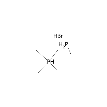 Br.CP.C[PH](C)(C)C